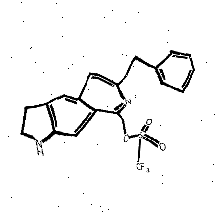 O=S(=O)(Oc1nc(Cc2ccccc2)cc2cc3c(cc12)NCC3)C(F)(F)F